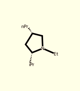 CCC[C@H]1C[C@@H](C(C)C)N(CC)C1